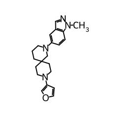 Cn1ncc2cc(N3CCCC4(CCN(c5ccoc5)CC4)C3)ccc21